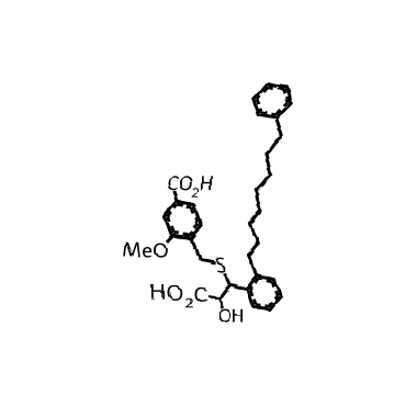 COc1cc(C(=O)O)ccc1CSC(c1ccccc1CCCCCCCCc1ccccc1)C(O)C(=O)O